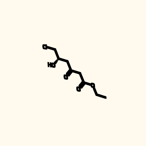 CCOC(=O)CC(=O)C[C@H](O)CCl